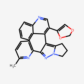 Cc1cccc(-c2nn3c(c2-c2c(C4=COCO4)cnc4ccccc24)CCC3)n1